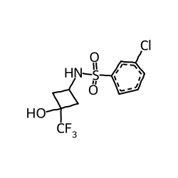 O=S(=O)(NC1CC(O)(C(F)(F)F)C1)c1cccc(Cl)c1